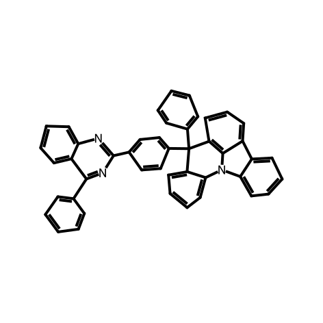 c1ccc(-c2nc(-c3ccc(C4(c5ccccc5)c5ccccc5-n5c6ccccc6c6cccc4c65)cc3)nc3ccccc23)cc1